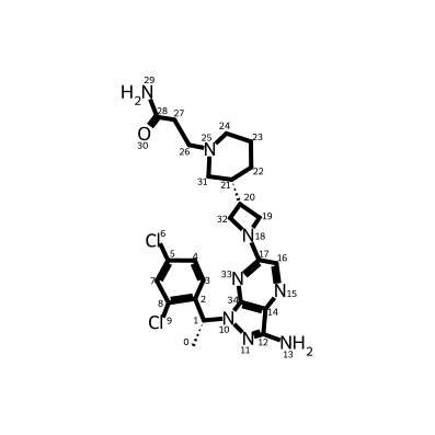 C[C@H](c1ccc(Cl)cc1Cl)n1nc(N)c2ncc(N3CC([C@H]4CCCN(CCC(N)=O)C4)C3)nc21